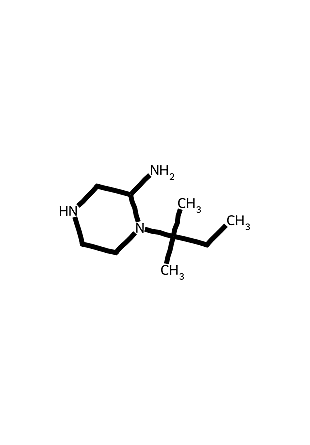 CCC(C)(C)N1CCNCC1N